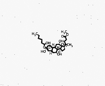 CCCCCC(O)O[C@@]1(O)CC[C@@]2(C)[C@H](C[C@@H](O)[C@@H]3[C@@H]2C[C@H](O)[C@]2(C)[C@@H]([C@H](C)CCC(=O)OC)CC[C@@H]32)C1